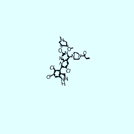 C=CC(=O)N1CCN(c2nc(O[C@@H]3CN(C)C[C@H]3OC)nc3nc(-c4c(Cl)c(Cl)cc5[nH]ncc45)c(Cl)cc23)CC1